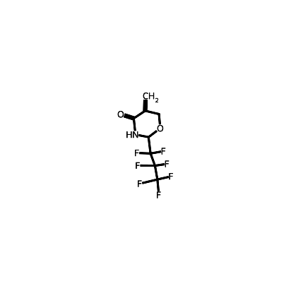 C=C1COC(C(F)(F)C(F)(F)C(F)(F)F)NC1=O